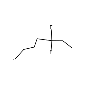 [CH2]CCCC(F)(F)CC